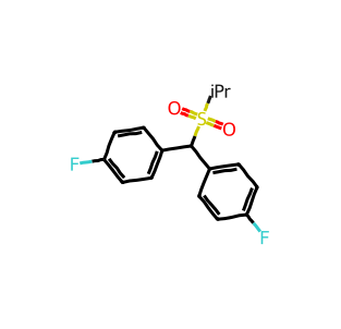 CC(C)S(=O)(=O)C(c1ccc(F)cc1)c1ccc(F)cc1